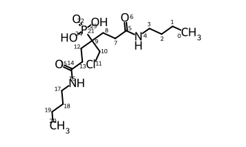 CCCCNC(=O)CCC(CCl)(CCC(=O)NCCCC)P(=O)(O)O